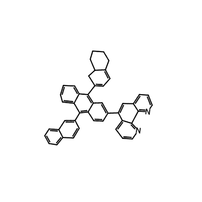 C1=C(c2c3ccccc3c(-c3ccc4ccccc4c3)c3ccc(-c4cc5cccnc5c5ncccc45)cc23)CC2CCCCC2=C1